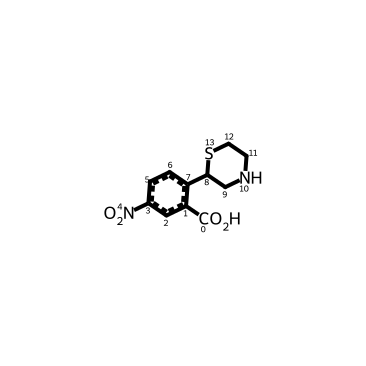 O=C(O)c1cc([N+](=O)[O-])ccc1C1CNCCS1